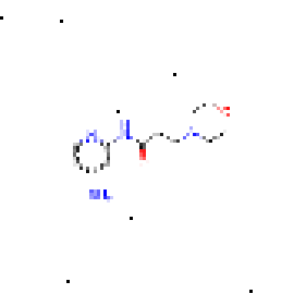 Nc1ccnc(NC(=O)CCN2CCOCC2)c1